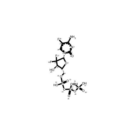 Nc1nc(=O)n([C@@H]2O[C@H](COP(=O)(O)OP(=O)(O)OP(=O)(O)O)[C@@H](O)C2(F)F)cc1F